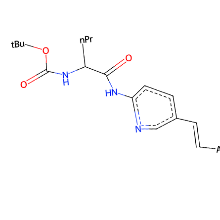 CCCC(NC(=O)OC(C)(C)C)C(=O)Nc1ccc(C=CC(C)=O)cn1